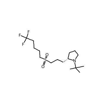 CC(C)(C)N1CCC[C@H]1CCCS(=O)(=O)CCCCC(F)(F)F